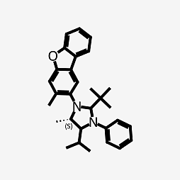 Cc1cc2oc3ccccc3c2cc1N1C(C(C)(C)C)N(c2ccccc2)C(C(C)C)[C@@H]1C